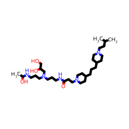 CC(C)CCN1CCC(CCCC2CCN(CCC(=O)NCCCN(CCCNC(C)O)CC(O)CO)CC2)CC1